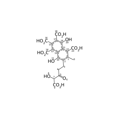 Cc1c(CCC(=O)C(O)C(=O)O)c(O)c2c(C(=O)O)c(C(=O)O)c(C(=O)O)c(O)c2c1C(=O)O